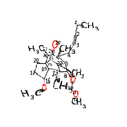 CCC#CC[C@]1(C)C[C@@H](OCOC)[C@@]2(C)C3[C@H](OC)CCC3(CC[C@H]2C)[C@@H](C)C1=O